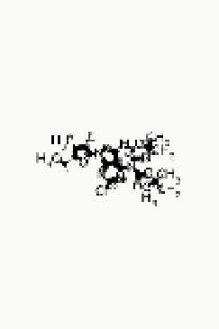 CC[C@H]1O[C@@H](n2ncc3c(N(C(=O)OC(C)(C)C)C(=O)OC(C)(C)C)nc(Cl)nc32)[C@@H](F)[C@@H]1C